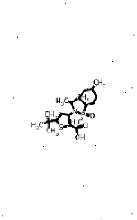 CC1CCC(P(C)(=O)N(c2cc(C(C)(C)C)sc2C(=O)O)C(C)C)CC1